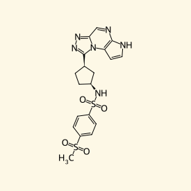 CS(=O)(=O)c1ccc(S(=O)(=O)N[C@H]2CC[C@@H](c3nnc4cnc5[nH]ccc5n34)C2)cc1